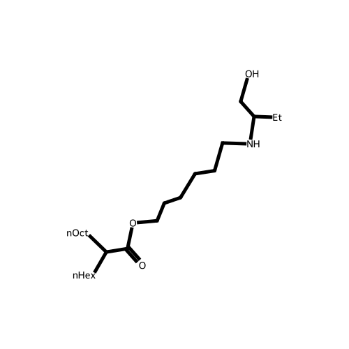 CCCCCCCCC(CCCCCC)C(=O)OCCCCCCNC(CC)CO